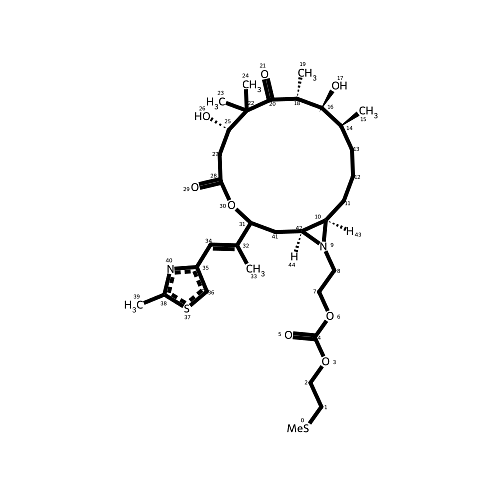 CSCCOC(=O)OCCN1[C@@H]2CCC[C@H](C)[C@H](O)[C@@H](C)C(=O)C(C)(C)[C@@H](O)CC(=O)OC(/C(C)=C/c3csc(C)n3)C[C@@H]21